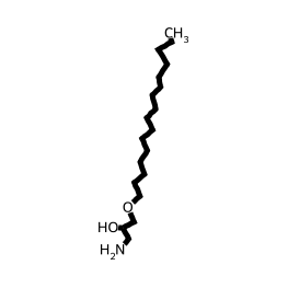 CCCCCCCCCCCCCCCCOCC(O)CN